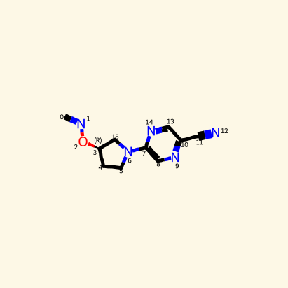 C=NO[C@@H]1CCN(c2cnc(C#N)cn2)C1